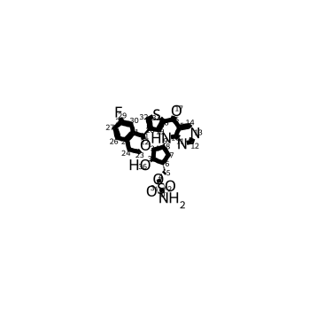 NS(=O)(=O)OC[C@H]1C[C@@H](Nc2ncncc2C(=O)c2cc([C@H]3OCCc4ccc(F)cc43)cs2)C[C@@H]1O